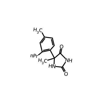 CCCc1cc(C)ccc1C1(C)NC(=O)NC1=O